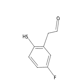 O=CCc1cc(F)ccc1S